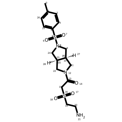 Cc1ccc(S(=O)(=O)N2C[C@H]3CN(C(=O)CS(=O)(=O)CCN)C[C@H]3C2)cc1